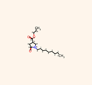 CCCCCCCCCN1CC(C(=O)OCCC)CC1=O